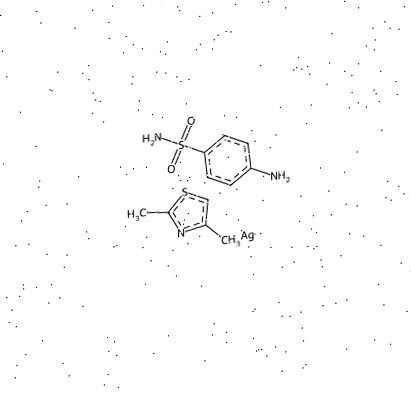 Cc1csc(C)n1.Nc1ccc(S(N)(=O)=O)cc1.[Ag]